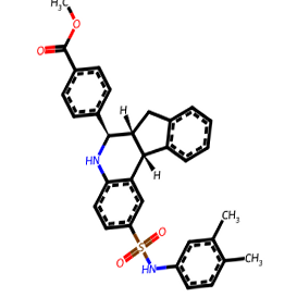 COC(=O)c1ccc([C@@H]2Nc3ccc(S(=O)(=O)Nc4ccc(C)c(C)c4)cc3[C@H]3c4ccccc4C[C@H]32)cc1